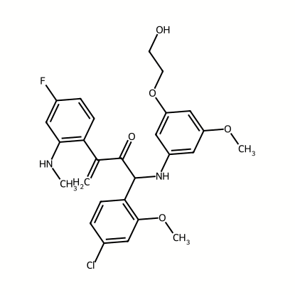 C=C(C(=O)C(Nc1cc(OC)cc(OCCO)c1)c1ccc(Cl)cc1OC)c1ccc(F)cc1NC